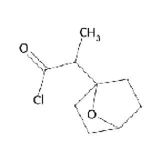 CC(C(=O)Cl)C12CCC(CC1)O2